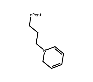 CCCCCCCCN1[C]=CC=CC1